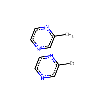 CCc1cnccn1.Cc1cnccn1